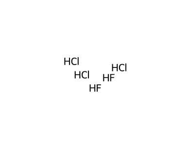 Cl.Cl.Cl.F.F